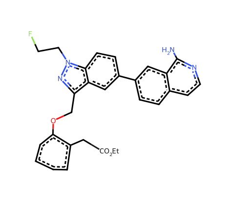 CCOC(=O)Cc1ccccc1OCc1nn(CCF)c2ccc(-c3ccc4ccnc(N)c4c3)cc12